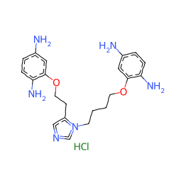 Cl.Nc1ccc(N)c(OCCCCn2cncc2CCOc2cc(N)ccc2N)c1